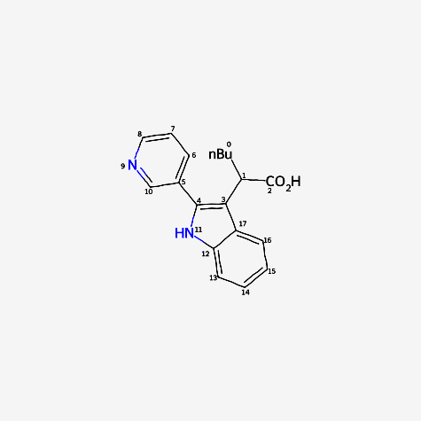 CCCCC(C(=O)O)c1c(-c2cccnc2)[nH]c2ccccc12